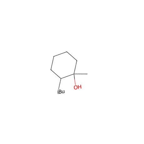 CCC(C)C1CCCCC1(C)O